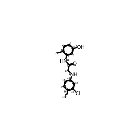 Cc1ccc(O)cc1NC(=O)CNc1ccc(F)c(Cl)c1